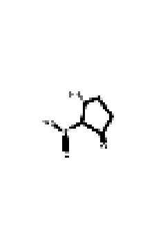 N.O=C1CCCC1[N+](=O)O